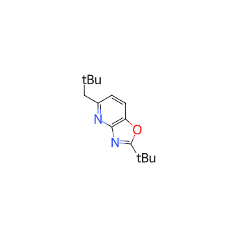 CC(C)(C)Cc1ccc2oc(C(C)(C)C)nc2n1